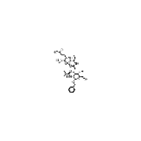 CCC(NC(=O)CO[C@H]1[C@H](O)[C@@H](CO)O[C@H](OCc2ccccc2)[C@@H]1NC(=O)C(C)C)C(=O)NC(CCC(=O)O)C(N)=O